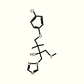 CSCC(O)(Cn1cncn1)C(C)(C)COc1ccc(Cl)cc1